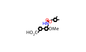 COc1ccc(-c2cccc(CC(=O)O)c2)cc1CNC(=O)OCc1ccc(C)c(C)c1